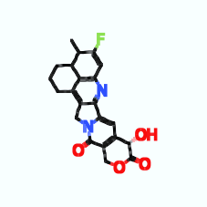 CC1C(F)=Cc2nc3c(c4c2C1CCC4)Cn1c-3cc2c(c1=O)COC(=O)[C@H]2O